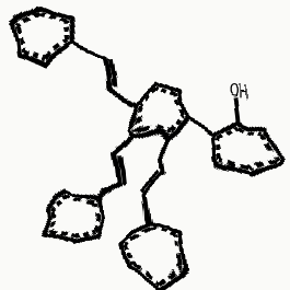 Oc1ccccc1-c1ccc(C=Cc2ccccc2)c(C=Cc2ccccc2)c1C=Cc1ccccc1